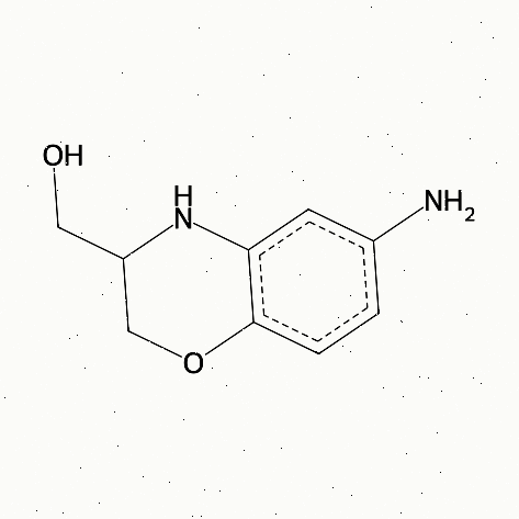 Nc1ccc2c(c1)NC(CO)CO2